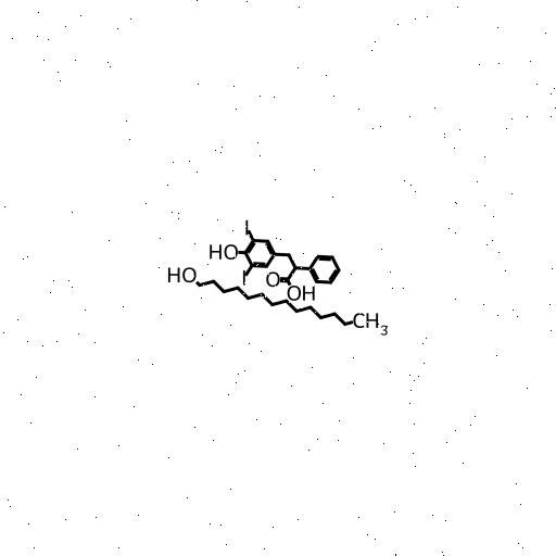 CCCCCCCCCCCCCCO.O=C(O)C(Cc1cc(I)c(O)c(I)c1)c1ccccc1